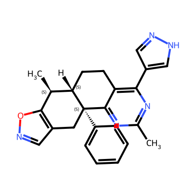 Cc1nc(-c2cn[nH]c2)c2c(n1)[C@@]1(c3ccccc3)Cc3cnoc3[C@@H](C)[C@@H]1CC2